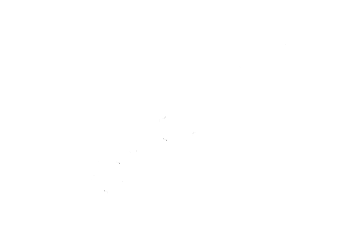 CCc1nc2ccc(-n3ccc(OCc4ccc(Cl)cc4)cc3=O)cn2c1C